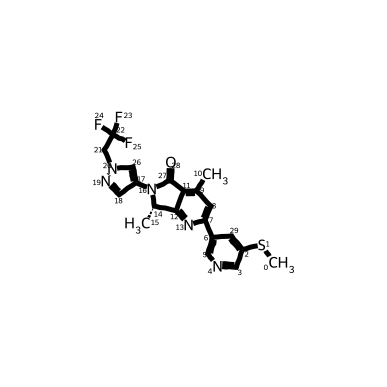 CSc1cncc(-c2cc(C)c3c(n2)[C@H](C)N(c2cnn(CC(F)(F)F)c2)C3=O)c1